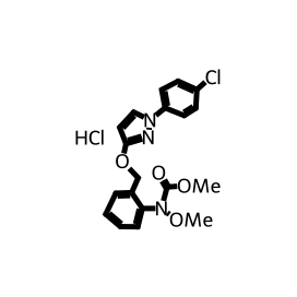 COC(=O)N(OC)c1ccccc1COc1ccn(-c2ccc(Cl)cc2)n1.Cl